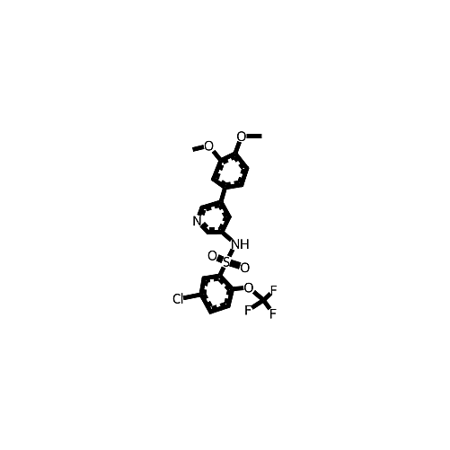 COc1ccc(-c2cncc(NS(=O)(=O)c3cc(Cl)ccc3OC(F)(F)F)c2)cc1OC